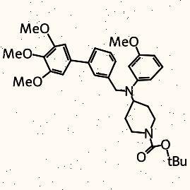 COc1cccc(N(Cc2cccc(-c3cc(OC)c(OC)c(OC)c3)c2)C2CCN(C(=O)OC(C)(C)C)CC2)c1